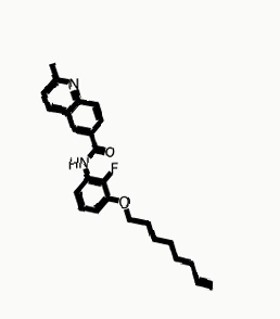 C=CCCCCCCOc1cccc(NC(=O)c2ccc3nc(C)ccc3c2)c1F